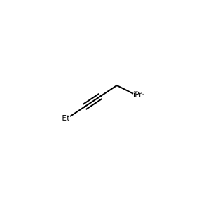 CCC#CC[C](C)C